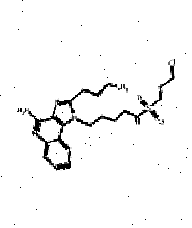 CCCCc1nc2c(N)nc3ccccc3c2n1CCCCNS(=O)(=O)CCCCl